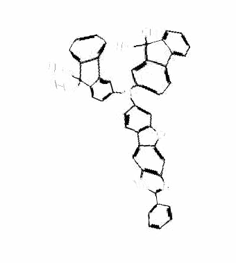 CC1(C)c2ccccc2-c2cc(N(c3ccc4c(c3)C(C)(C)c3ccccc3-4)c3ccc4c(c3)oc3cc5nc(-c6ccccc6)oc5cc34)ccc21